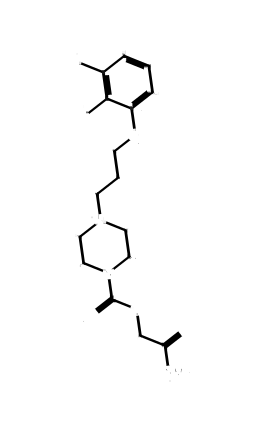 CNC(=O)COC(=O)N1CCN(CCCOc2cccc(Cl)c2Cl)CC1